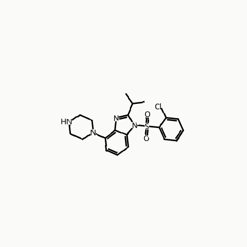 CC(C)c1nc2c(N3CCNCC3)cccc2n1S(=O)(=O)c1ccccc1Cl